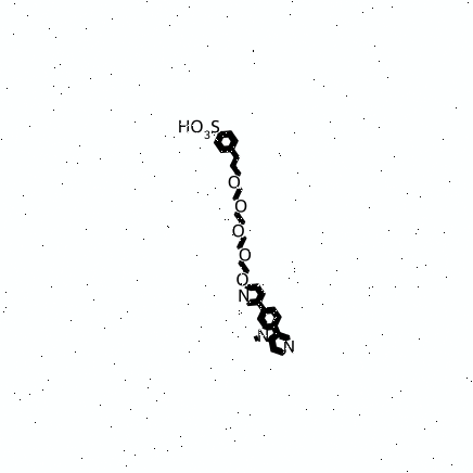 Cn1c2ccncc2c2ccc(-c3ccc(OCCOCCOCCOCCOCCCc4ccc(S(=O)(=O)O)cc4)nc3)cc21